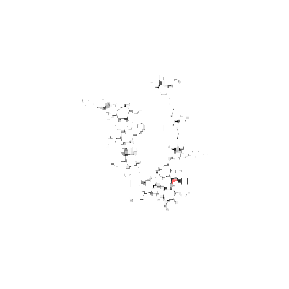 CCCN1C(=O)CC(SCCCC(=N)NCCOP(=O)(OC)OCC2OC(OC3C(OCC4OC(OC5C(CO)OC(OC6C(O)C(O)C(O)C7OP(=O)(OC)OC67)C(N)C5O)C(O)C(O)C4O)OC(CO)C(O)C3O)C(OC3OC(CO)C(O)C(O)C3O)C(O)C2O)C1=O